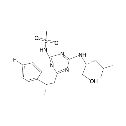 CC(C)C[C@H](CO)Nc1nc(C[C@H](C)c2ccc(F)cc2)nc(NS(C)(=O)=O)n1